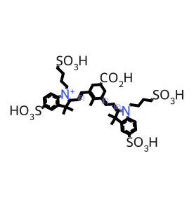 CC1=C(/C=C/C2=[N+](CCCCS(=O)(=O)O)c3ccc(S(=O)(=O)O)cc3C2(C)C)CC(C(=O)O)C/C1=C\C=C1\N(CCCCS(=O)(=O)O)c2ccc(S(=O)(=O)O)cc2C1(C)C